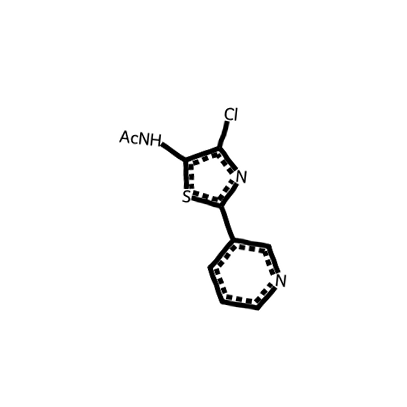 CC(=O)Nc1sc(-c2cccnc2)nc1Cl